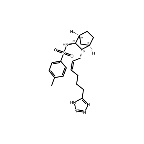 Cc1ccc(S(=O)(=O)N[C@H]2[C@H]3CC[C@H](C3)[C@@H]2C/C=C\CCCc2nnn[nH]2)cc1